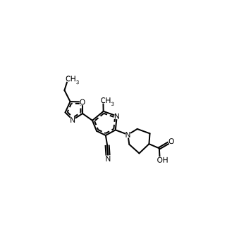 CCc1cnc(-c2cc(C#N)c(N3CCC(C(=O)O)CC3)nc2C)o1